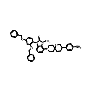 Cn1c(=O)n(-c2ccc(OCc3ccccc3)nc2OCc2ccccc2)c2cccc(N3CCC4(CCC(c5ccc(N)nc5)CO4)CC3)c21